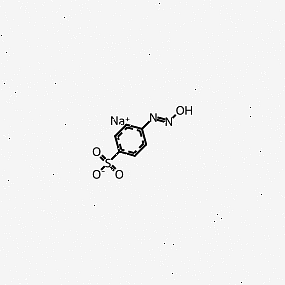 O=S(=O)([O-])c1ccc(N=NO)cc1.[Na+]